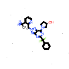 O[C@H]1CCN(c2nc(C(F)(F)c3ccccc3)nc3nn(Cc4ncccc4C4(C(F)(F)F)N=N4)nc23)C1